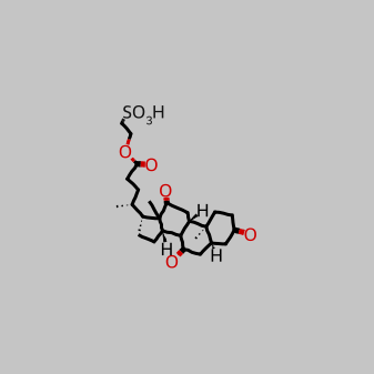 C[C@H](CCC(=O)OCCS(=O)(=O)O)[C@H]1CC[C@H]2C3C(=O)C[C@@H]4CC(=O)CC[C@]4(C)[C@H]3CC(=O)C12C